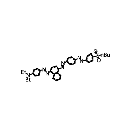 CCCCS(=O)(=O)c1ccc(N=Nc2ccc(N=Nc3ccc(N=Nc4ccc(N(CC)CC)cc4)c4ccccc34)cc2)cc1